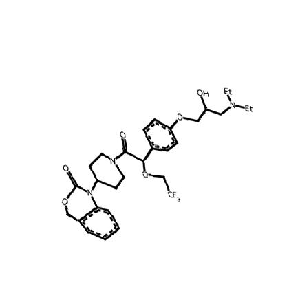 CCN(CC)CC(O)COc1ccc(C(OCC(F)(F)F)C(=O)N2CCC(N3C(=O)OCc4ccccc43)CC2)cc1